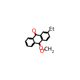 C=O.CCc1ccc2c(c1)C(=O)c1ccccc1C2=O